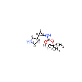 CC(C)(C)OC(=O)NC1CC1C1CCNC1